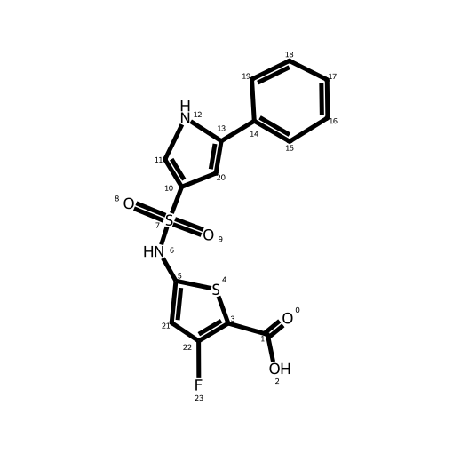 O=C(O)c1sc(NS(=O)(=O)c2c[nH]c(-c3ccccc3)c2)cc1F